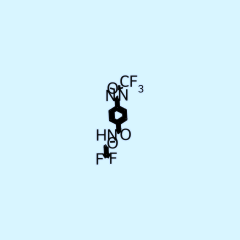 O=C(NOCC(F)F)c1ccc(-c2noc(C(F)(F)F)n2)cc1